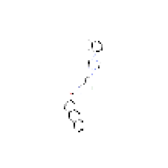 Cc1cccc(N2CCN(CCCCNC(=O)c3ccc4cc5ccccc5cc4c3)CC2)c1C.Cl